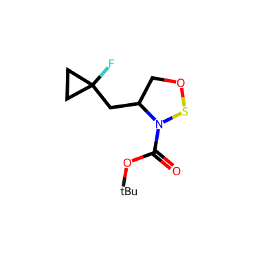 CC(C)(C)OC(=O)N1SOCC1CC1(F)CC1